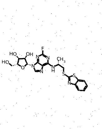 C[C@H](CSc1nc2ccccc2s1)Nc1nc(F)nc2c1ncn2[C@@H]1O[C@H](CO)[C@@H](O)[C@H]1O